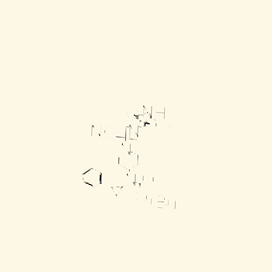 CC(C)(C)OC(=O)N(C1CCN(C2(CC#N)CN(S(N)(=O)=O)C2)CC1)[C@@H]1C[C@H]1c1ccccc1